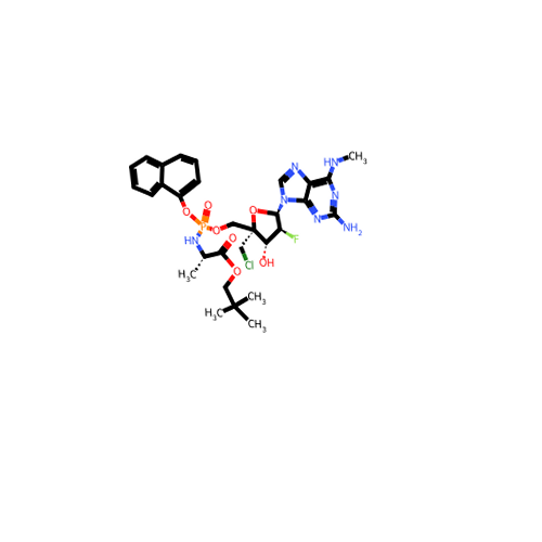 CNc1nc(N)nc2c1ncn2[C@@H]1O[C@](CCl)(COP(=O)(N[C@@H](C)C(=O)OCC(C)(C)C)Oc2cccc3ccccc23)[C@@H](O)[C@@H]1F